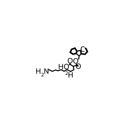 [2H]C(CCCCCCCN)CC(C(=O)O)C(=O)OCC1c2ccccc2-c2ccccc21